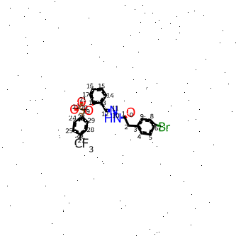 O=C(Cc1ccc(Br)cc1)NN=Cc1ccccc1OS(=O)(=O)c1ccc(C(F)(F)F)cc1